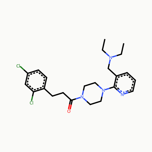 CCN(CC)Cc1cccnc1N1CCN(C(=O)CCc2ccc(Cl)cc2Cl)CC1